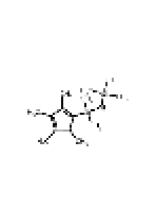 CC1=C(C)C(C)C([Si](C)(C)N[Si](C)(C)C)=C1C